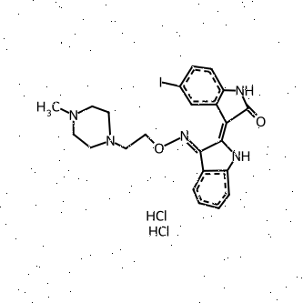 CN1CCN(CCO/N=C2/C(=C3/C(=O)Nc4ccc(I)cc43)Nc3ccccc32)CC1.Cl.Cl